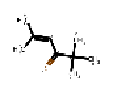 CC(C)=CC(=S)C(C)(C)C